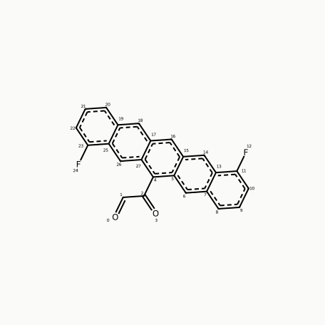 O=CC(=O)c1c2cc3cccc(F)c3cc2cc2cc3cccc(F)c3cc12